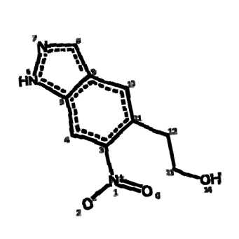 O=[N+]([O-])c1cc2[nH]ncc2cc1CCO